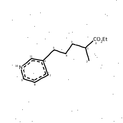 CCOC(=O)C(C)CCCc1cccnc1